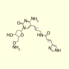 NOCC1OC(n2cc(/C=C/CNC(=O)/C=C/c3c[nH]cn3)c(N)nc2=O)CC1O